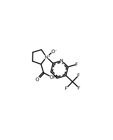 O=C(O)C1CCC[N+]1([O-])c1ccc(C(F)(F)F)c(F)n1